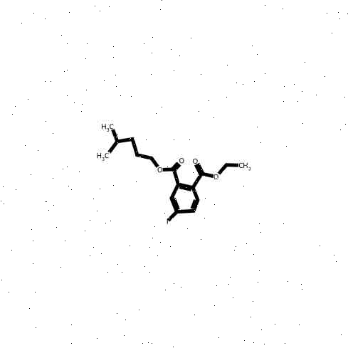 CCOC(=O)c1ccc(I)cc1C(=O)OCCCC(C)C